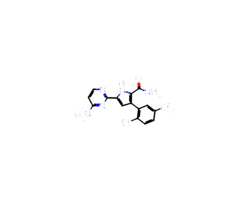 CCc1ccc(C(F)(F)F)cc1-c1cc(-c2nccc(N)n2)[nH]c1C(N)=O